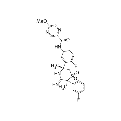 COc1cnc(C(=O)NC2C=C([C@]3(C)CS(=O)(=O)[C@@](C)(c4cccc(F)c4)C(=N)N3)C(F)=CC2)cn1